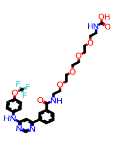 O=C(O)NCCOCCOCCOCCOCCNC(=O)c1cccc(-c2cc(Nc3ccc(OC(F)(F)F)cc3)ncn2)c1